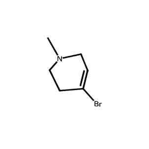 CN1CC=C(Br)CC1